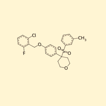 Cc1cccc(S(=O)(=O)C2(c3ccc(OCc4c(F)cccc4Cl)cc3)CCOCC2)c1